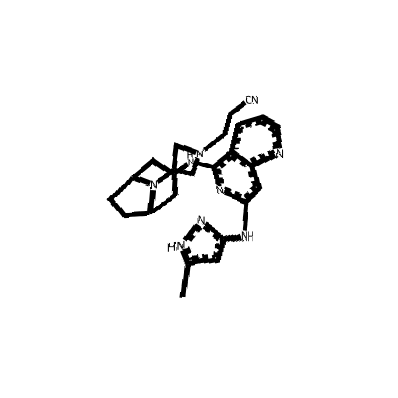 Cc1cc(Nc2cc3ncccc3c(NC3CC4CCC(C3)N4C3CN(CCC#N)C3)n2)n[nH]1